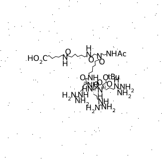 CC(=O)NCCN(CC(=O)NCCCCCC(=O)NCCCCCC(=O)O)C(=O)CCCCCNC(=O)[C@H](CCCNC(N)N)NN[C@@H](CCCNC(N)N)C(=O)N[C@@H](CCCNC(N)N)C(=O)C(=O)OC(C)(C)C